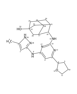 Cc1cc(Nc2cc(C3CCCO3)nc(NC3C4CC5CC3CC(O)(C5)C4)n2)n[nH]1